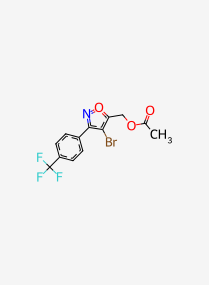 CC(=O)OCc1onc(-c2ccc(C(F)(F)F)cc2)c1Br